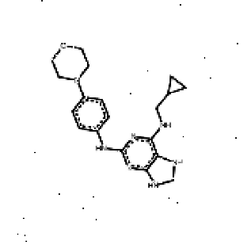 c1cc(N2CCOCC2)ccc1Nc1nc2c(c(NCC3CC3)n1)NCN2